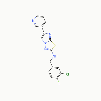 Fc1ccc(CNc2nn3cc(-c4cccnc4)nc3s2)cc1Cl